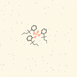 CCCC(C)(C)c1ccccc1OP(=O)(Oc1ccccc1C(C)(C)CCC)Oc1ccccc1C(C)(C)CCC